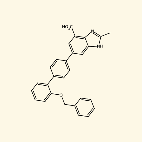 Cc1nc2c(C(=O)O)cc(-c3ccc(-c4ccccc4OCc4ccccc4)cc3)cc2[nH]1